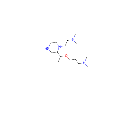 CC(OCCCN(C)C)C1CNCCN1CCN(C)C